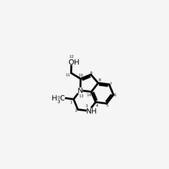 CC1CNc2cccc3cc(CO)n1c23